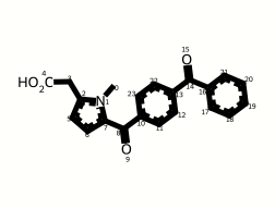 Cn1c(CC(=O)O)ccc1C(=O)c1ccc(C(=O)c2ccccc2)cc1